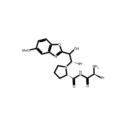 COc1ccc2oc(C(O)[C@H](C(C)C)N3CCC[C@H]3C(=O)NC(=O)[C@@H](N)C(C)C)nc2c1